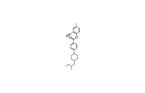 CCC(C)CC1CCC(c2ccc(C(=O)Oc3ccc(C)cc3C#N)cc2)CC1